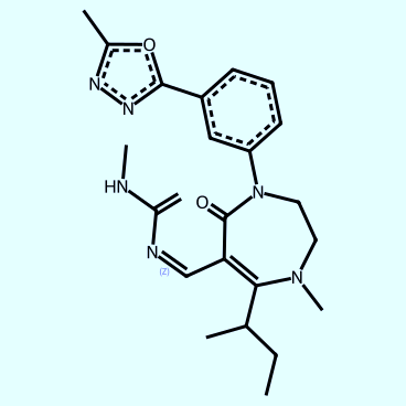 C=C(/N=C\C1=C(C(C)CC)N(C)CCN(c2cccc(-c3nnc(C)o3)c2)C1=O)NC